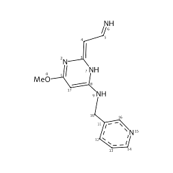 COC1=N/C(=C/C=N)NC(NCc2cccnc2)=C1